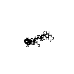 CC(C)(C)CC(=O)OCCC(=O)OC1(C)C2CC3CC(C2)CC1C3